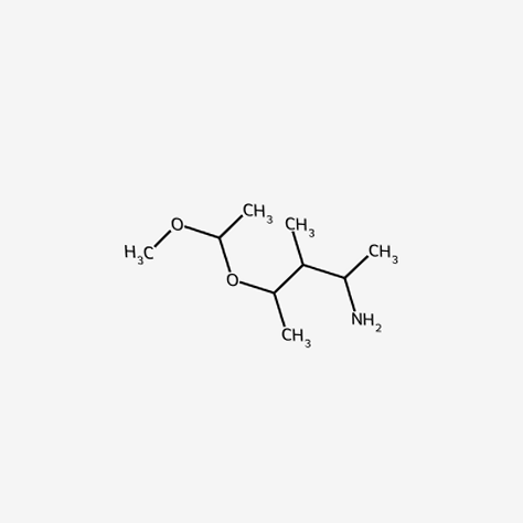 COC(C)OC(C)C(C)C(C)N